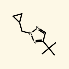 CC(C)(C)c1cnn(CC2CC2)n1